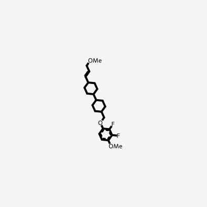 COCC=CC1CCC(C2CCC(COc3ccc(OC)c(F)c3F)CC2)CC1